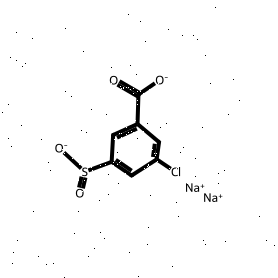 O=C([O-])c1cc(Cl)cc(S(=O)[O-])c1.[Na+].[Na+]